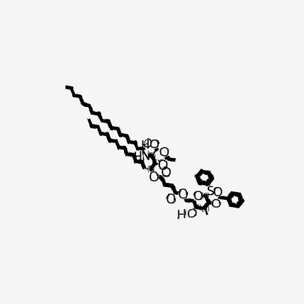 CCCCCCCCCCCCCCCCCC(=O)N[C@@H](CO)[C@H](OC(C)=O)[C@@H](CCCCCCCCCCCCCC)OC(=O)CCC(=O)OCC1O[C@@H](Sc2ccccc2)C(OC(=O)c2ccccc2)[C@@H](C)[C@@H]1O